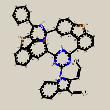 C=Cc1c(/C=C\C)n(-c2nc(-c3ccccc3)nc(-c3cccc4sc5ccc(-c6nc(-c7ccccc7)c7sc8ccccc8c7n6)cc5c34)n2)c2ccccc12